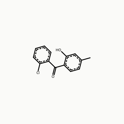 Cc1ccc(C(=O)c2ccccc2Cl)c(O)c1